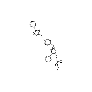 CCOC(=O)CCc1cn(Cc2ccc(OCc3csc(-c4ccccc4)n3)nc2)nc1-c1ccccc1